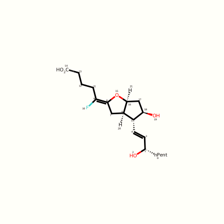 CCCCC[C@H](O)/C=C/[C@@H]1[C@H]2C/C(=C(\F)CCCC(=O)O)O[C@H]2C[C@H]1O